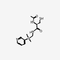 CC(=O)N[C@@H](CS)C(=O)NC[Si](C)(C)c1cccnc1